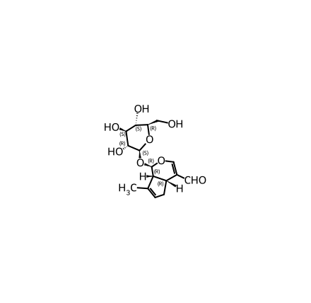 CC1=CC[C@H]2C(C=O)=CO[C@H](O[C@@H]3O[C@H](CO)[C@@H](O)[C@H](O)[C@H]3O)[C@@H]12